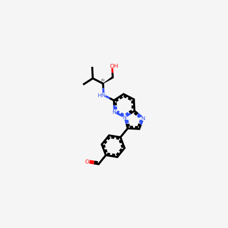 CC(C)[C@@H](CO)Nc1ccc2ncc(-c3ccc(C=O)cc3)n2n1